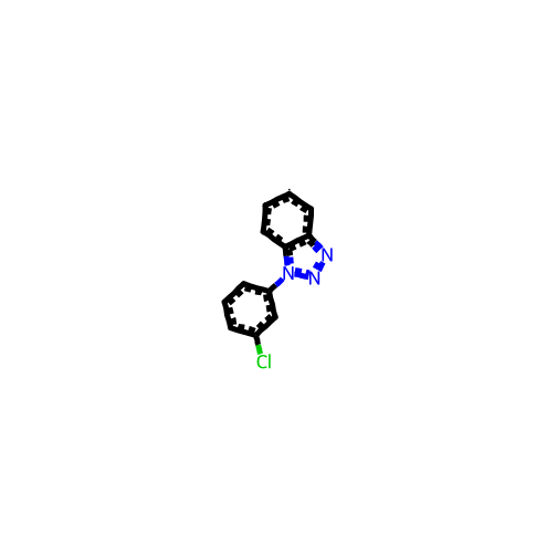 Clc1cccc(-n2nnc3c[c]ccc32)c1